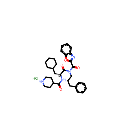 Cl.O=C(N[C@@H](CC1CCCCC1)C(=O)N(CCCc1ccccc1)C(=O)c1nc2ccccc2o1)C1CCNCC1